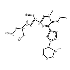 CC/C=C1/C(c2cnn([C@@H]3CCCC[C@H]3C)c2)=NC(/C(C=N)=C/NC(CO)CN=O)=CN1C